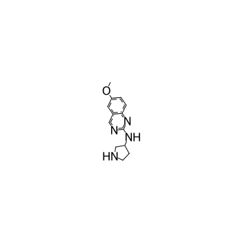 COc1ccc2nc(NC3CCNC3)ncc2c1